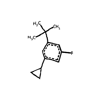 CC(C)(C)c1cc(F)cc(C2CC2)c1